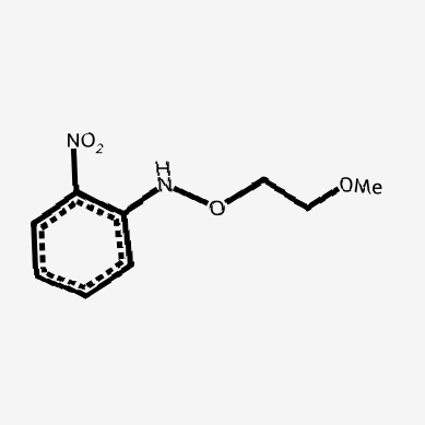 COCCONc1ccccc1[N+](=O)[O-]